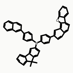 CC1(C)c2ccccc2-c2cc(N(c3ccc(-c4ccc5ccccc5c4)cc3)c3ccc(-c4ccc5ccc6c7ccccc7oc6c5c4)cc3)ccc21